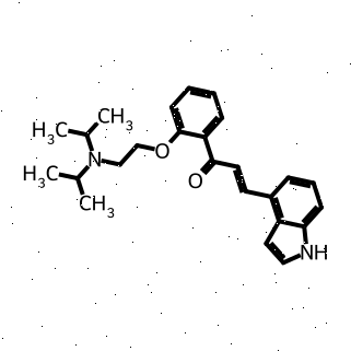 CC(C)N(CCOc1ccccc1C(=O)C=Cc1cccc2[nH]ccc12)C(C)C